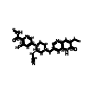 CCc1cc2ncc(CN3CCN(c4cnc(C(=O)NC)c(F)c4)[C@@H](CC#N)C3)cc2[nH]c1=O